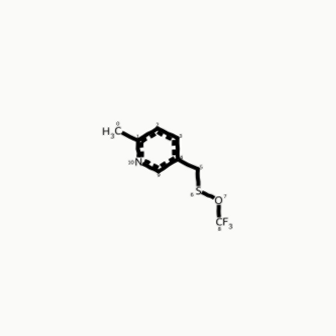 Cc1ccc(CSOC(F)(F)F)cn1